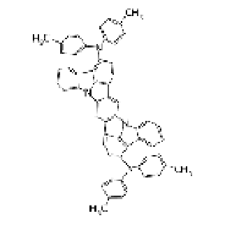 Cc1ccc(N(c2ccc(C)cc2)c2ccc3c4cc5c(cc4n4c6ccccc6c2c34)c2ccc(N(c3ccc(C)cc3)c3ccc(C)cc3)c3c4ccccc4n5c23)cc1